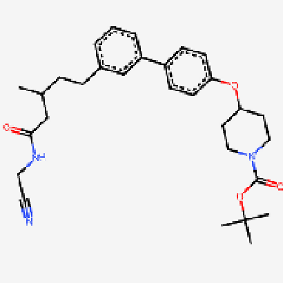 CC(CCc1cccc(-c2ccc(OC3CCN(C(=O)OC(C)(C)C)CC3)cc2)c1)CC(=O)NCC#N